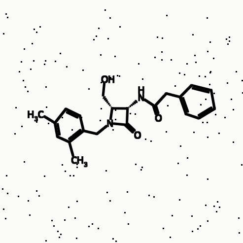 Cc1ccc(CN2C(=O)[C@@H](NC(=O)Cc3ccccc3)[C@H]2CO)c(C)c1